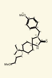 COCCC[C@]1(N(C)C)CC[C@@]2(CC1)CN(Cc1ccc(OC)cc1)C(=O)N2